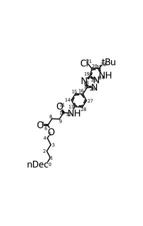 CCCCCCCCCCCCCCOC(=O)CCC(=O)Nc1ccc(-c2nc3c(Cl)c(C(C)(C)C)[nH]n3n2)cc1